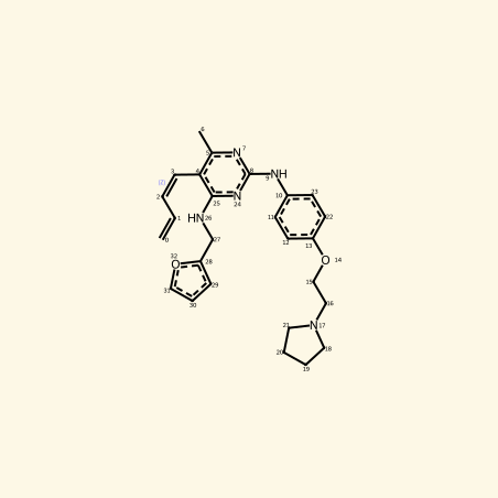 C=C/C=C\c1c(C)nc(Nc2ccc(OCCN3CCCC3)cc2)nc1NCc1ccco1